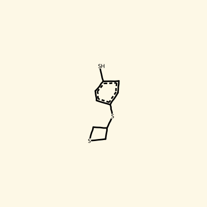 Sc1ccc(SC2CSC2)cc1